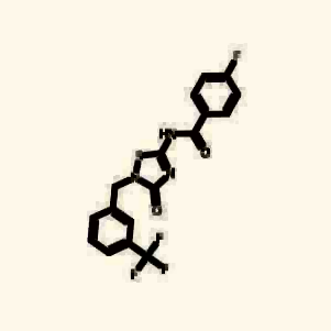 O=C(Nc1nc(=O)n(Cc2cccc(C(F)(F)F)c2)s1)c1ccc(F)cc1